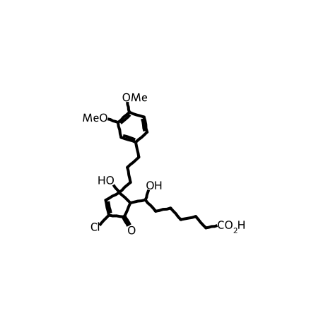 COc1ccc(CCCC2(O)C=C(Cl)C(=O)C2C(O)CCCCCC(=O)O)cc1OC